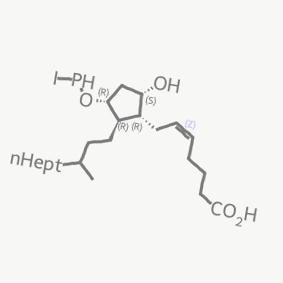 CCCCCCCC(C)CC[C@@H]1[C@@H](C/C=C\CCCC(=O)O)[C@@H](O)C[C@H]1OPI